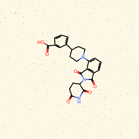 O=C1CCC(N2C(=O)c3cccc(N4CCC(c5cccc(C(=O)O)c5)CC4)c3C2=O)C(=O)N1